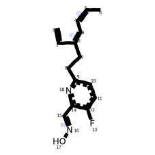 C=C/C(=C\C=C/C)CCc1ccc(F)c(/C=N/O)n1